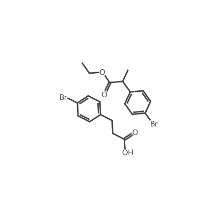 CCOC(=O)C(C)c1ccc(Br)cc1.O=C(O)CCc1ccc(Br)cc1